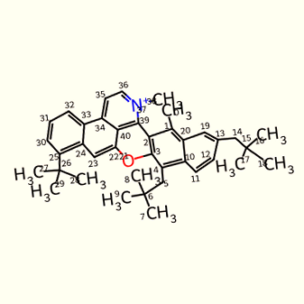 Cc1c2c(c(CC(C)(C)C)c3ccc(CC(C)(C)C)cc13)Oc1cc3c(C(C)(C)C)cccc3c3cc[n+](C)c-2c13